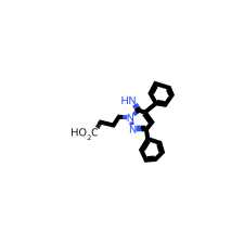 N=c1c(-c2ccccc2)cc(-c2ccccc2)nn1CCCC(=O)O